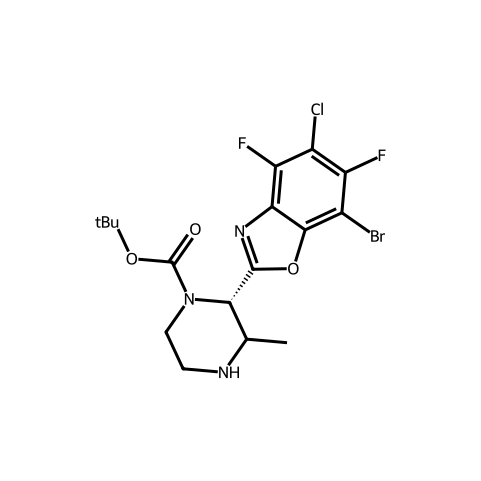 CC1NCCN(C(=O)OC(C)(C)C)[C@@H]1c1nc2c(F)c(Cl)c(F)c(Br)c2o1